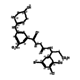 O=C(O)CC(NC(=O)CNC(=O)c1cc(NC2=NC[C@H](O)CN2)cc([N+](=O)[O-])c1)c1cc(Br)cc(Cl)c1O